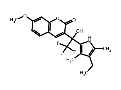 CCc1c(C)[nH]c(C(O)(c2cc3ccc(OC)cc3oc2=O)C(F)(F)F)c1C